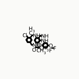 CC(Nc1cccc(Nc2cccc(OC(F)F)c2)c1C=N)c1cc(CNC(=O)C(C)(C)C)ccc1Cl